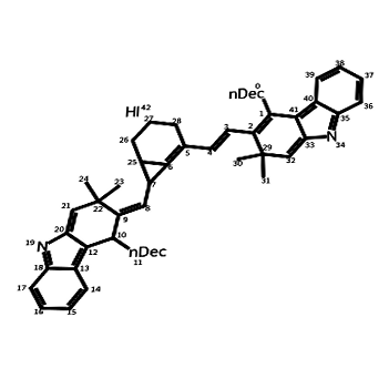 CCCCCCCCCCC1=C(C=CC2=C3C(C=C4C(CCCCCCCCCC)C5=c6ccccc6=NC5=CC4(C)C)C3CCC2)C(C)(C)C=C2N=c3ccccc3=C21.I